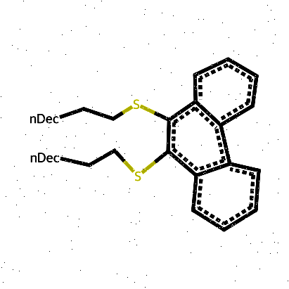 CCCCCCCCCCCCSc1c(SCCCCCCCCCCCC)c2ccccc2c2ccccc12